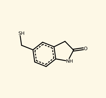 O=C1Cc2cc(CS)ccc2N1